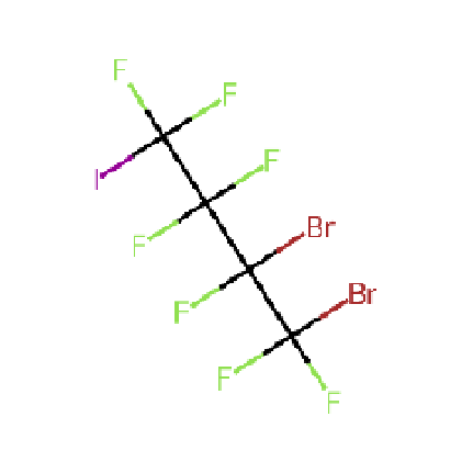 FC(F)(Br)C(F)(Br)C(F)(F)C(F)(F)I